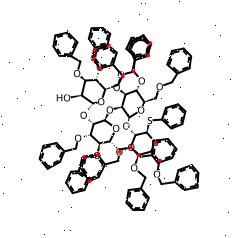 O[C@@H]1[C@@H](O[C@@H]2[C@@H](O[C@@H]3[C@@H](O[C@H]4[C@@H](OCc5ccccc5)[C@H](OCc5ccccc5)[C@@H](COCc5ccccc5)O[C@@H]4Sc4ccccc4)O[C@H](COCc4ccccc4)[C@@H](OCc4ccccc4)[C@@H]3OCc3ccccc3)O[C@H](COCc3ccccc3)[C@@H](OCc3ccccc3)[C@@H]2OCc2ccccc2)O[C@H](COCc2ccccc2)[C@@H](OCc2ccccc2)[C@@H]1OCc1ccccc1